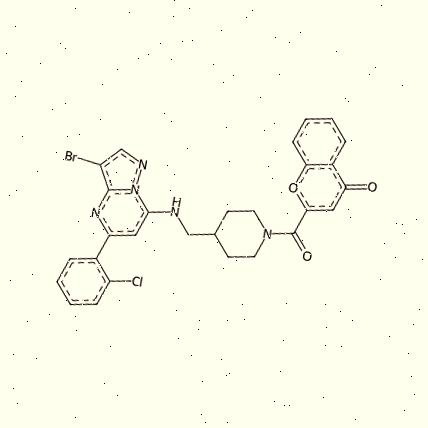 O=C(c1cc(=O)c2ccccc2o1)N1CCC(CNc2cc(-c3ccccc3Cl)nc3c(Br)cnn23)CC1